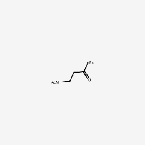 CCCCC(=O)CCNC(C)=O